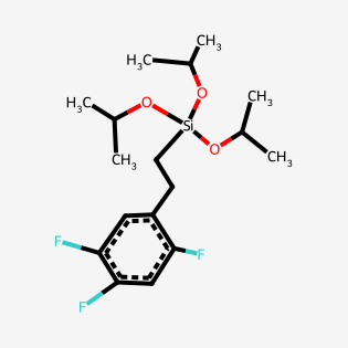 CC(C)O[Si](CCc1cc(F)c(F)cc1F)(OC(C)C)OC(C)C